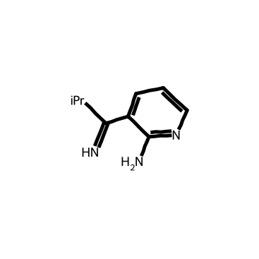 CC(C)C(=N)c1cccnc1N